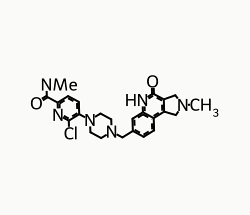 CNC(=O)c1ccc(N2CCN(Cc3ccc4c5c(c(=O)[nH]c4c3)CN(C)C5)CC2)c(Cl)n1